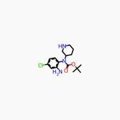 CC(C)(C)OC(=O)N(c1ccc(Cl)cc1N)C1CCCNC1